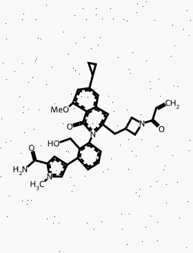 C=CC(=O)N1CC(Cc2cc3cc(C4CC4)cc(OC)c3c(=O)n2-c2cccc(-c3cc(C(N)=O)n(C)c3)c2CO)C1